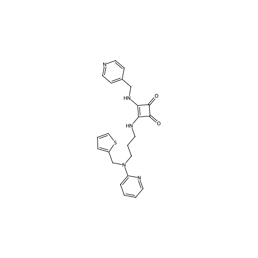 O=c1c(NCCCN(Cc2cccs2)c2ccccn2)c(NCc2ccncc2)c1=O